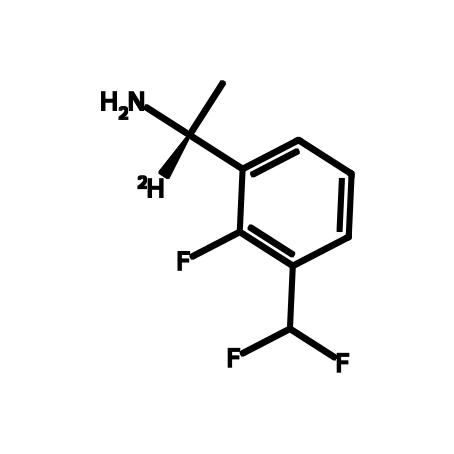 [2H][C@](C)(N)c1cccc(C(F)F)c1F